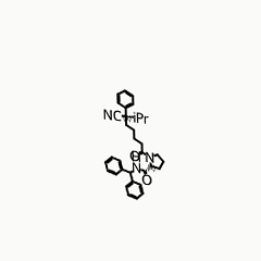 CC(C)[C@](C#N)(CCCCC(=O)N1CCC[C@@H]1C(=O)NC(c1ccccc1)c1ccccc1)c1ccccc1